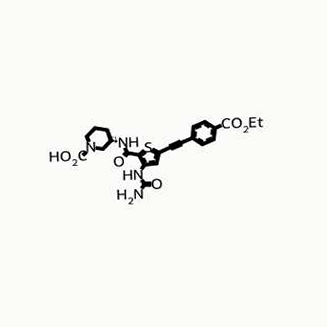 CCOC(=O)c1ccc(C#Cc2cc(NC(N)=O)c(C(=O)N[C@H]3CCCN(C(=O)O)C3)s2)cc1